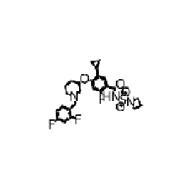 O=C(NS(=O)(=O)N1CCC1)c1cc(C2CC2)c(OC2CCCN(Cc3ccc(F)cc3F)C2)cc1F